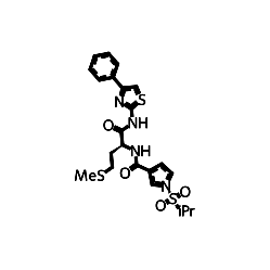 CSCC[C@H](NC(=O)c1ccn(S(=O)(=O)C(C)C)c1)C(=O)Nc1nc(-c2ccccc2)cs1